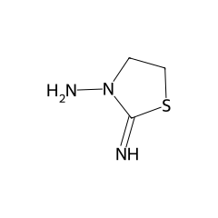 N=C1SCCN1N